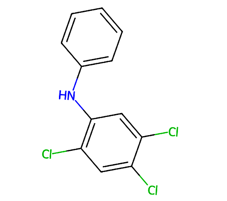 Clc1cc(Cl)c(Nc2ccccc2)cc1Cl